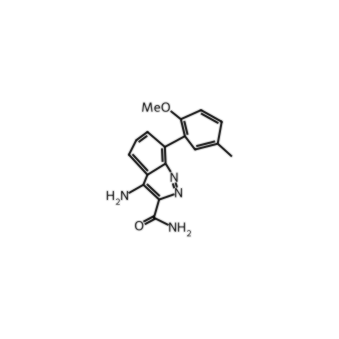 COc1ccc(C)cc1-c1cccc2c(N)c(C(N)=O)nnc12